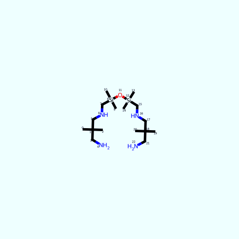 CC(C)(CN)CNC[Si](C)(C)O[Si](C)(C)CNCC(C)(C)CN